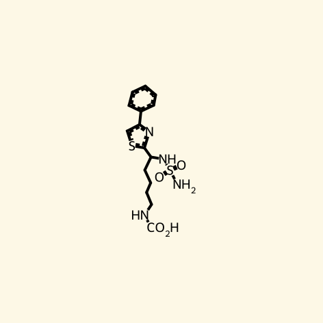 NS(=O)(=O)NC(CCCCNC(=O)O)c1nc(-c2ccccc2)cs1